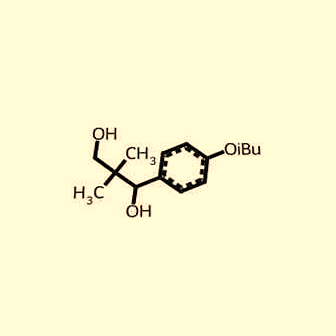 CC(C)COc1ccc(C(O)C(C)(C)CO)cc1